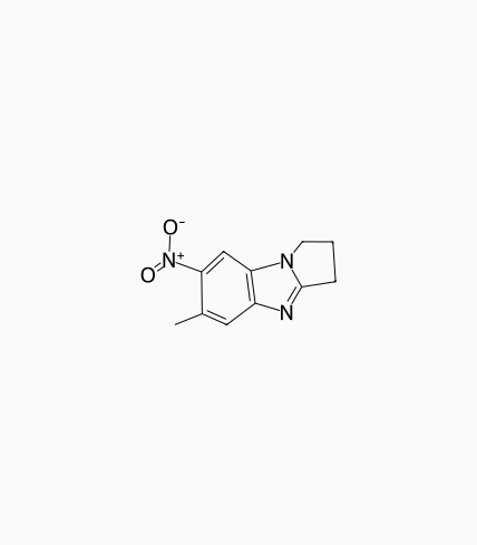 Cc1cc2nc3n(c2cc1[N+](=O)[O-])CCC3